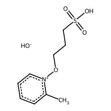 Cc1cccc[n+]1OCCCS(=O)(=O)O.[OH-]